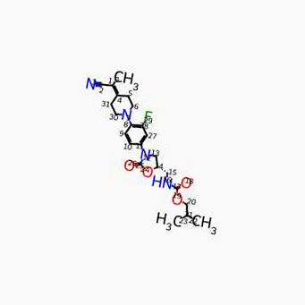 CC(C#N)=C1CCN(c2ccc(N3C[C@H](CNC(=O)OCC(C)C)OC3=O)cc2F)CC1